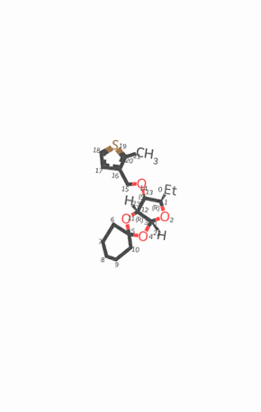 CC[C@H]1O[C@@H]2OC3(CCCCC3)O[C@@H]2[C@H]1OCc1ccsc1C